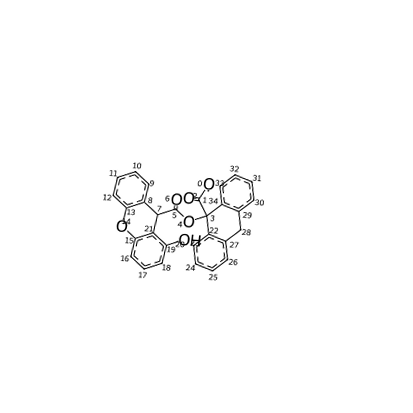 [O]C(=O)C1(OC(=O)C2c3ccccc3Oc3cccc(O)c32)c2ccccc2Cc2ccccc21